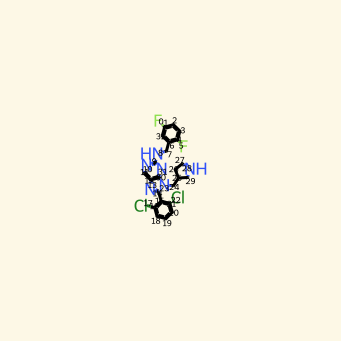 Fc1ccc(F)c(CNc2ncc3nc(-c4c(Cl)cccc4Cl)n(CC4CCNC4)c3n2)c1